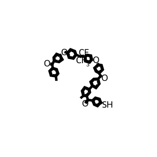 Cc1ccc(C(=O)c2ccc(Oc3ccc(C(c4ccc(Oc5ccc(C(=O)c6ccc(-c7ccc(C)c(C(=O)c8ccc(S)cc8)c7)cc6)cc5)cc4)(C(F)(F)F)C(F)(F)F)cc3)cc2)cc1